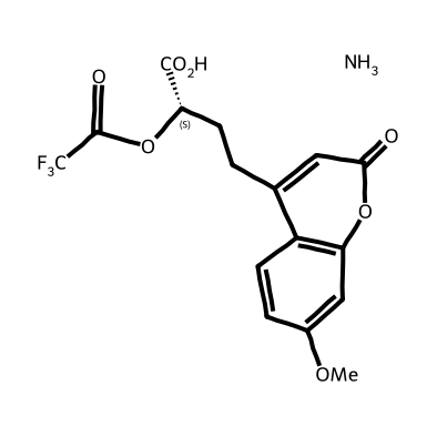 COc1ccc2c(CC[C@H](OC(=O)C(F)(F)F)C(=O)O)cc(=O)oc2c1.N